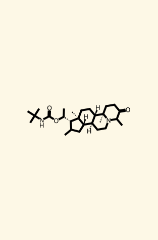 CC1C[C@H]2[C@@H]3CCN4C(C)C(=O)CC[C@]4(C)[C@H]3CC[C@]2(C)[C@H]1C(C)OC(=O)NC(C)(C)C